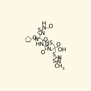 Cc1nnc(SCC2(C(=O)O)CS[C@@H]3C(NC(=O)C(=NOC4C=CCC4)c4csc(NC=O)n4)C(=O)N3C2)s1